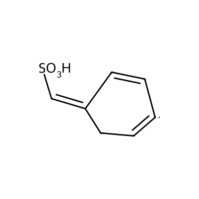 O=S(=O)(O)C=C1C=C[C]=CC1